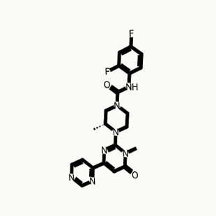 C[C@@H]1CN(C(=O)Nc2ccc(F)cc2F)CCN1c1nc(-c2ccncn2)cc(=O)n1C